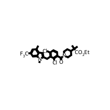 CCOC(=O)C(C)(C)C1CCN(C(=O)c2ccc(Cl)c(Cc3cc4c(C)cc(C(F)(F)F)cc4n3C)c2Cl)CC1